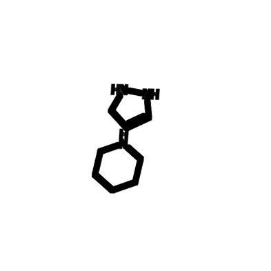 C1=CNNC1.C1CCNCC1